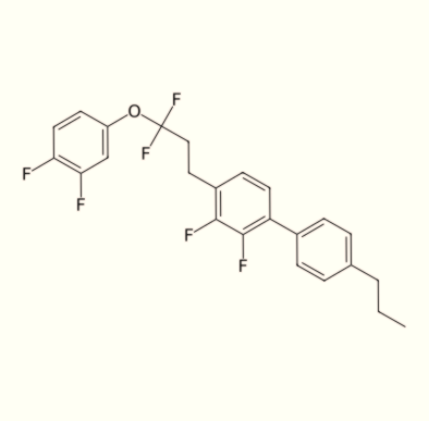 CCCc1ccc(-c2ccc(CCC(F)(F)Oc3ccc(F)c(F)c3)c(F)c2F)cc1